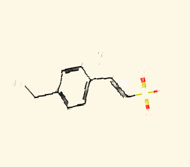 CC(C)Cc1ccc(/C=C/S(=O)(=O)[O-])cc1.[Na+]